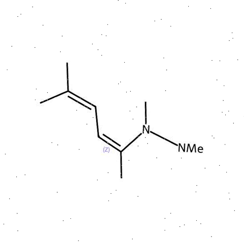 CNN(C)/C(C)=C\C=C(C)C